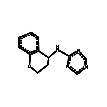 c1ccc2c(c1)OCCC2Nc1ncncn1